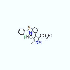 CCOC(=O)C1=C(C)NC(C)=C(C#N)C1c1cccc2sc(-c3ccccc3F)nc12